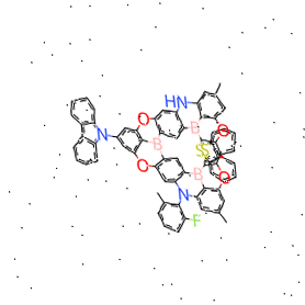 Cc1cc2c3c(c1)Oc1c(sc4ccccc14)B3c1cc3c(cc1N2)Oc1cc(-n2c4ccccc4c4ccccc42)cc2c1B3c1cc3c(cc1O2)N(c1c(C)cccc1F)c1cc(C)cc2c1B3c1sc3ccccc3c1O2